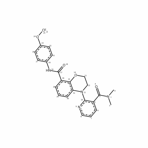 CN(C)C(=O)c1cccnc1N1CCOc2c(C(=O)Nc3ccc(OC(F)(F)F)cc3)cccc21